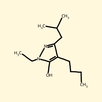 CCCCc1c(CC(C)C)nn(CC)c1O